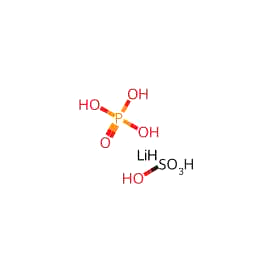 O=P(O)(O)O.O=S(=O)(O)O.[LiH]